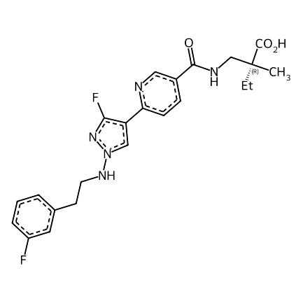 CC[C@](C)(CNC(=O)c1ccc(-c2cn(NCCc3cccc(F)c3)nc2F)nc1)C(=O)O